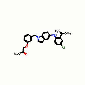 C=C(OC)c1cc(Cl)ccc1Nc1ccc2c(ccn2Cc2cccc(OCC(=O)OC)c2)c1